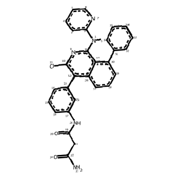 CN(c1ccccn1)c1nc(Cl)c(-c2cccc(NC(=O)CC(N)=O)c2)c2cccc(-c3ccccc3)c12